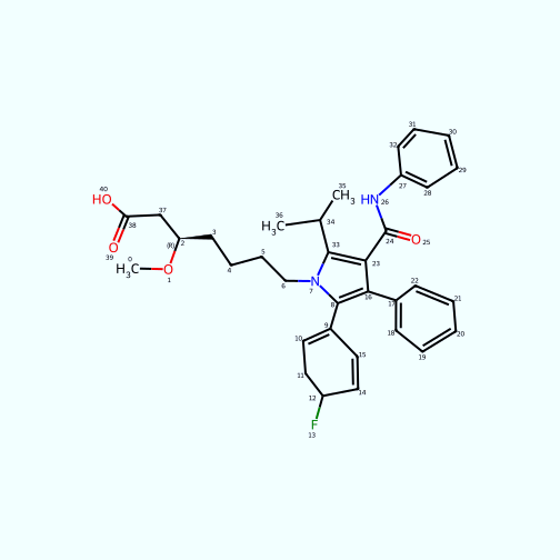 CO[C@H](CCCCn1c(C2=CCC(F)C=C2)c(-c2ccccc2)c(C(=O)Nc2ccccc2)c1C(C)C)CC(=O)O